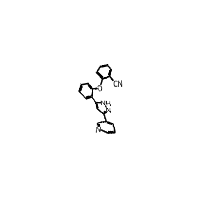 N#Cc1ccccc1Oc1ccccc1-c1cc(-c2cccnc2)n[nH]1